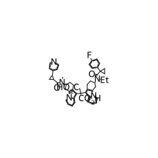 CCN(C(=O)C1(c2ccc(F)cc2)CC1)[C@@H]1CCc2c(C(CC(=O)O)(C(=O)O)c3c4c(n5ccccc35)C[C@H](N(C)C(=O)C3CC3c3ccncc3)CC4)c3ccccn3c2C1